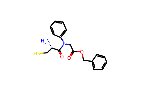 N[C@@H](CS)C(=O)N(CC(=O)OCc1ccccc1)c1ccccc1